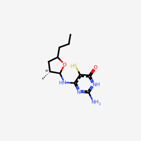 CCCC1C[C@@H](C)C(Nc2nc(N)[nH]c(=O)c2S)O1